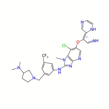 CN(C)C1CCN(Cc2cc(Nc3nc4ncc(O/C(C=N)=C5\C=NC=CN5)c(Cl)c4n3C)cc(C(F)(F)F)c2)C1